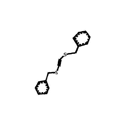 C(#CSCc1ccccc1)SCc1ccccc1